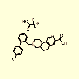 O=C(O)C(F)(F)F.O=C(O)c1cc2c(cn1)N1CCN(Cc3ccccc3-c3ccc(Cl)cc3)CC1CC2